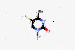 CC(C)n1cc(F)c(C(C)(C)C)nc1=O